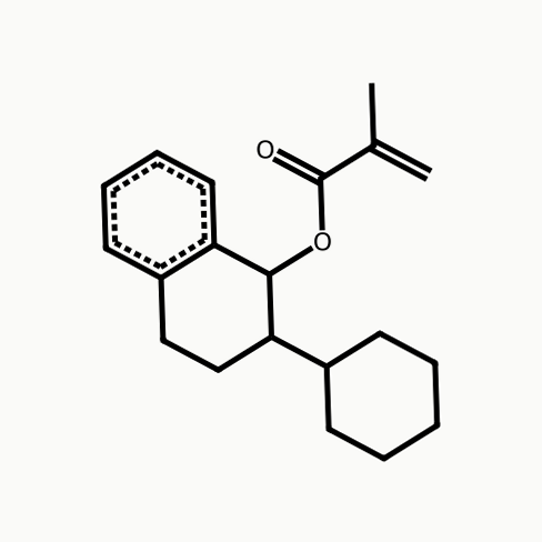 C=C(C)C(=O)OC1c2ccccc2CCC1C1CCCCC1